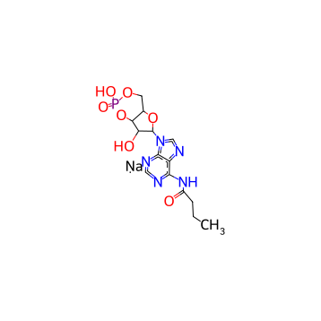 CCCC(=O)Nc1ncnc2c1ncn2C1OC2COP(=O)(O)OC2C1O.[Na]